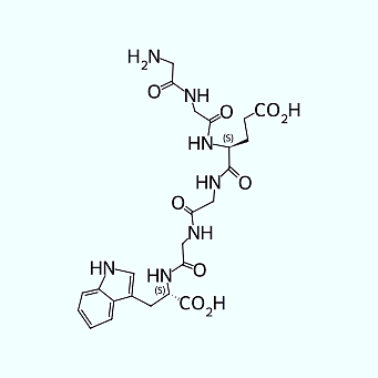 NCC(=O)NCC(=O)N[C@@H](CCC(=O)O)C(=O)NCC(=O)NCC(=O)N[C@@H](Cc1c[nH]c2ccccc12)C(=O)O